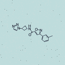 Cc1cccc(-c2cc(C(=O)N[C@H]3C[C@H](n4ccnn4)C3)on2)c1